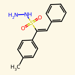 Cc1ccc(C(=Cc2ccccc2)S(=O)(=O)NN)cc1